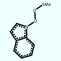 CSOOn1ccc2ccccc21